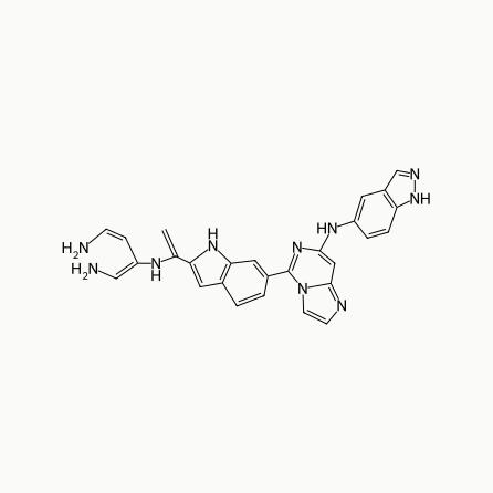 C=C(NC(/C=C\N)=C/N)c1cc2ccc(-c3nc(Nc4ccc5[nH]ncc5c4)cc4nccn34)cc2[nH]1